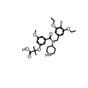 CCOc1cc(CN(C(=O)c2cc(OC)cc(OC(C)(C)C(=O)O)c2)C2CCNCC2)cc(OCC)c1F